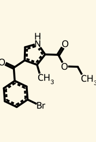 CCOC(=O)c1[nH]cc(C(=O)c2cccc(Br)c2)c1C